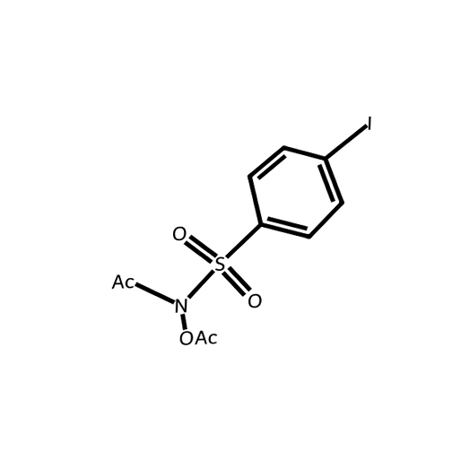 CC(=O)ON(C(C)=O)S(=O)(=O)c1ccc(I)cc1